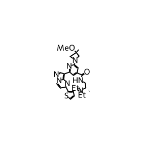 CCN(CC)[C@@H](C)CNC(=O)c1cc(-c2cnn3ccc(-c4cccs4)nc23)nc(N2CC(C)(OC)C2)c1